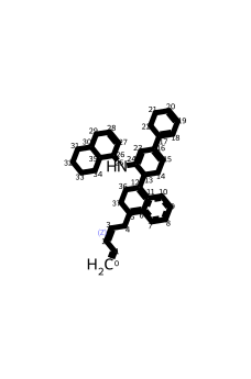 C=C/C=C\CC1=c2ccccc2=C(C2CC=C(C3=CC=CCC3)C=C2NC2C=CCC3CCCCC32)CC1